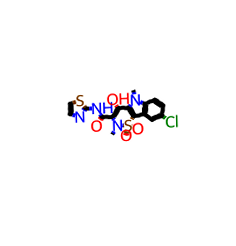 CN1C(C(=O)Nc2nccs2)=C(O)c2c(c3cc(Cl)ccc3n2C)S1(=O)=O